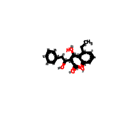 CCc1cccc2oc(=O)c(C(=O)Cc3ccccc3)c(O)c12